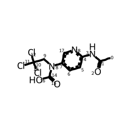 CC(=O)Nc1ccc(N(CC(Cl)(Cl)Cl)C(=O)O)cn1